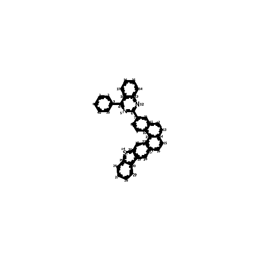 c1ccc(-c2nc(-c3ccc4c(ccc5ccc6cc7c(cc6c54)sc4ccccc47)c3)nc3ccccc23)cc1